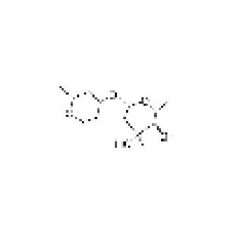 CC1CC(O[C@H]2CC(C)(O)[C@H](O)C(C)O2)C[C@H](C)O1